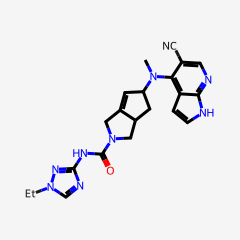 CCn1cnc(NC(=O)N2CC3=CC(N(C)c4c(C#N)cnc5[nH]ccc45)CC3C2)n1